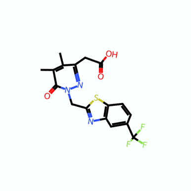 Cc1c(CC(=O)O)nn(Cc2nc3cc(C(F)(F)F)ccc3s2)c(=O)c1C